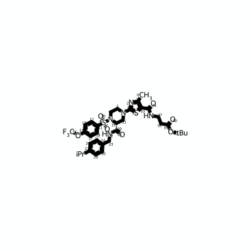 Cc1nc(N2CCN(S(=O)(=O)c3ccc(OC(F)(F)F)cc3)[C@@H](C(=O)NCc3ccc(C(C)C)cc3)C2)sc1C(=O)NCCC(=O)OC(C)(C)C